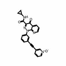 O=C(NC1CC1)c1nn(-c2cccc(C#Cc3ccc[n+]([O-])c3)c2)c2ncccc2c1=O